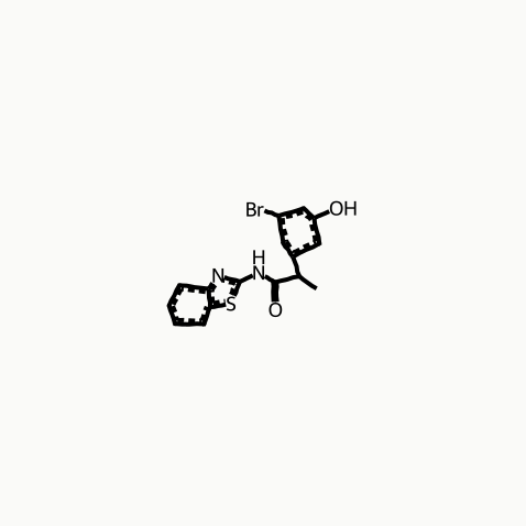 CC(C(=O)Nc1nc2ccccc2s1)c1cc(O)cc(Br)c1